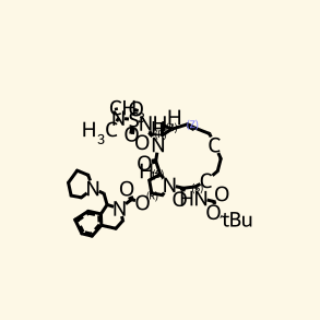 CN(C)S(=O)(=O)NC(=O)[C@@]12C[C@H]1/C=C\CCCCC[C@H](NC(=O)OC(C)(C)C)C(=O)N1C[C@H](OC(=O)N3CCc4ccccc4C3CN3CCCCC3)C[C@H]1C(=O)N2